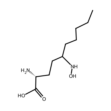 CCCCCC(CC[C@@H](N)C(=O)O)NO